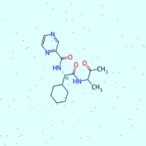 CC(=O)C(C)NC(=O)[C@@H](NC(=O)c1cnccn1)C1CCCCC1